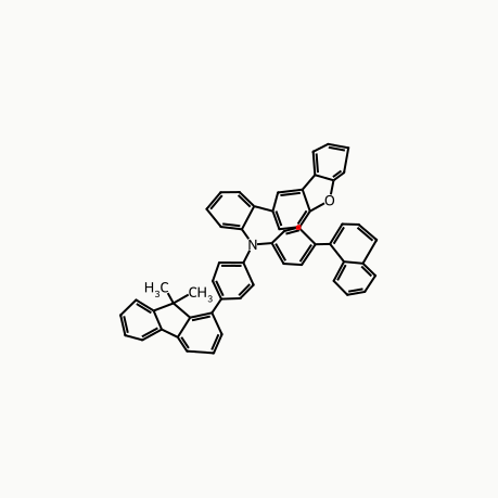 CC1(C)c2ccccc2-c2cccc(-c3ccc(N(c4ccc(-c5cccc6ccccc56)cc4)c4ccccc4-c4ccc5oc6ccccc6c5c4)cc3)c21